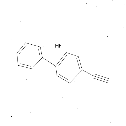 C#Cc1ccc(-c2ccccc2)cc1.F